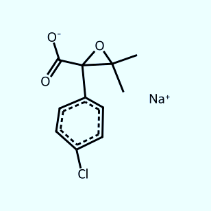 CC1(C)OC1(C(=O)[O-])c1ccc(Cl)cc1.[Na+]